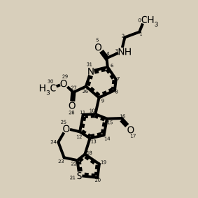 CCCNC(=O)c1ccc(-c2cc3c(cc2C=O)-c2ccsc2CCO3)c(C(=O)OC)n1